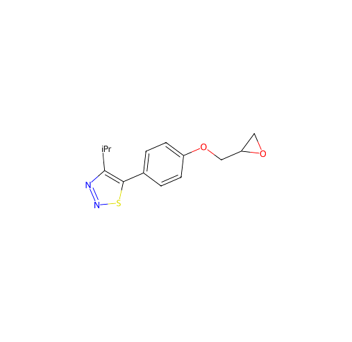 CC(C)c1nnsc1-c1ccc(OCC2CO2)cc1